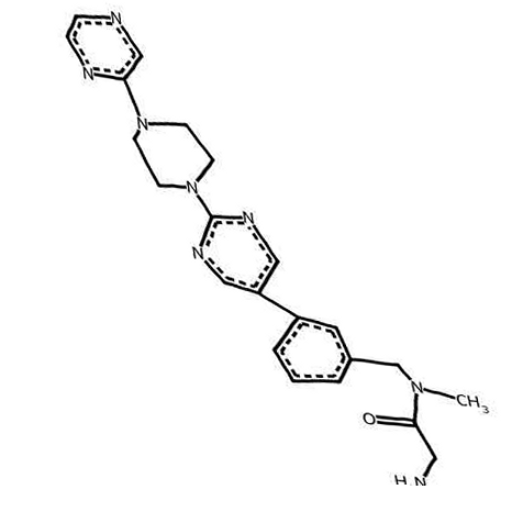 CN(Cc1cccc(-c2cnc(N3CCN(c4cnccn4)CC3)nc2)c1)C(=O)CN